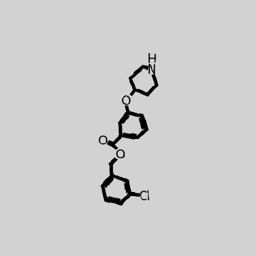 O=C(OCc1cccc(Cl)c1)c1cccc(OC2CCNCC2)c1